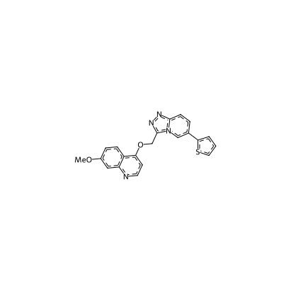 COc1ccc2c(OCc3nnc4ccc(-c5cccs5)cn34)ccnc2c1